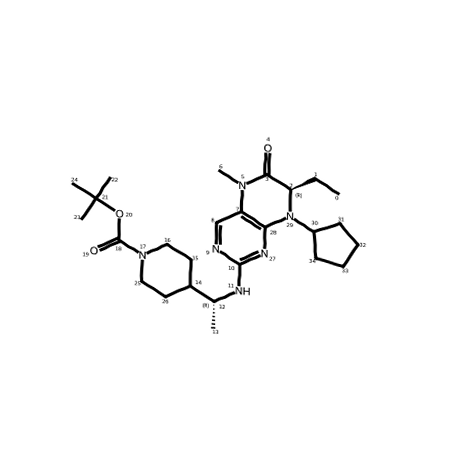 CC[C@@H]1C(=O)N(C)c2cnc(N[C@H](C)C3CCN(C(=O)OC(C)(C)C)CC3)nc2N1C1CCCC1